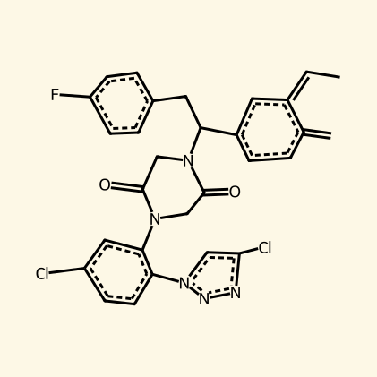 C=c1ccc(C(Cc2ccc(F)cc2)N2CC(=O)N(c3cc(Cl)ccc3-n3cc(Cl)nn3)CC2=O)c/c1=C/C